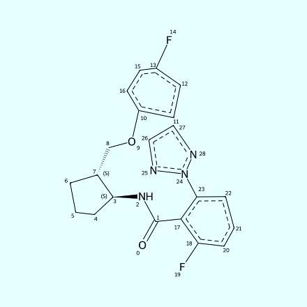 O=C(N[C@H]1CCC[C@@H]1COc1ccc(F)cc1)c1c(F)cccc1-n1nccn1